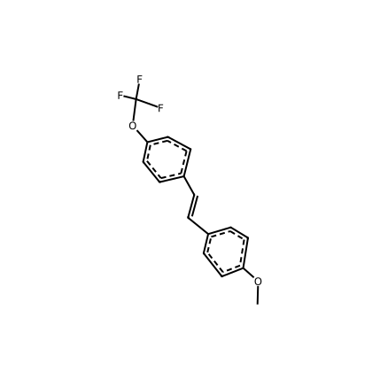 COc1ccc(C=Cc2ccc(OC(F)(F)F)cc2)cc1